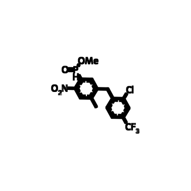 CO[PH](=O)c1cc(Cc2ccc(C(F)(F)F)cc2Cl)c(C)cc1[N+](=O)[O-]